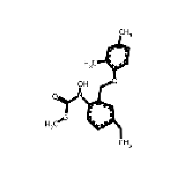 CCc1ccc(N(O)C(=O)SC)c(COc2ccc(C)cc2C)c1